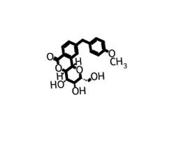 COc1ccc(Cc2ccc3c(c2)[C@@H]2O[C@H](CO)[C@@H](O)[C@H](O)[C@H]2OC3=O)cc1